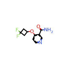 NC(=O)c1cnccc1OC1CC(F)(F)C1